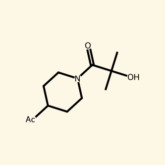 CC(=O)C1CCN(C(=O)C(C)(C)O)CC1